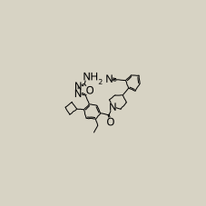 CCc1cc(C2CCC2)c(-c2nnc(N)o2)cc1C(=O)N1CCC(c2ccccc2C#N)CC1